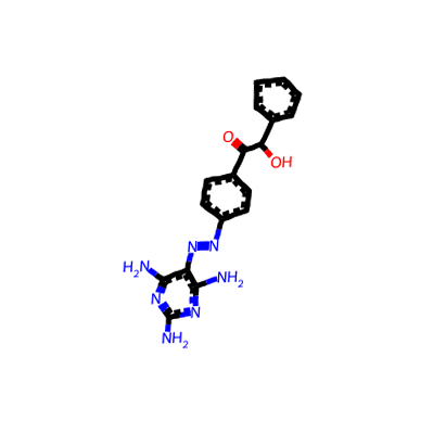 Nc1nc(N)c(N=Nc2ccc(C(=O)C(O)c3ccccc3)cc2)c(N)n1